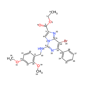 CCOC(=O)c1cn2c(NCc3ccc(OC)cc3OC)nc(-c3ccccc3)c(Br)c2n1